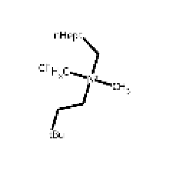 CCCCCCCC[N+](C)(C)CCC(C)(C)C.[Cl-]